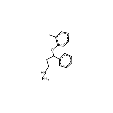 Cc1ccccc1OC(CCNN)c1ccccc1